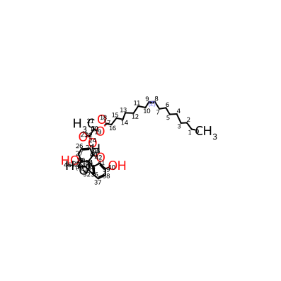 CCCCCCCC/C=C\CCCCCCCC(=O)O[C@@H](C)C(=O)OC1=CC[C@@]2(O)[C@@H]3CCC[C@@]24c2c(ccc(O)c2O[C@@H]14)C3